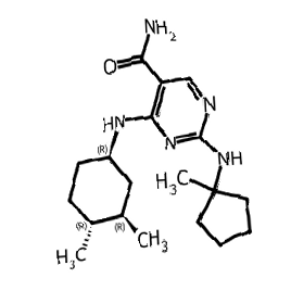 C[C@@H]1CC[C@@H](Nc2nc(NC3(C)CCCC3)ncc2C(N)=O)C[C@H]1C